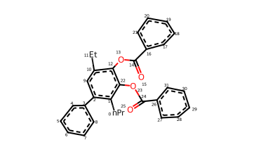 CCCc1c(-c2ccccc2)cc(CC)c(OC(=O)c2ccccc2)c1OC(=O)c1ccccc1